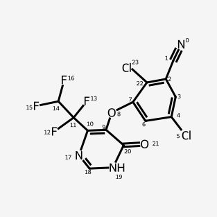 N#Cc1cc(Cl)cc(Oc2c(C(F)(F)C(F)F)nc[nH]c2=O)c1Cl